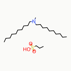 CCCCCCCCCCN(C)CCCCCCCCCC.CCCS(=O)(=O)O